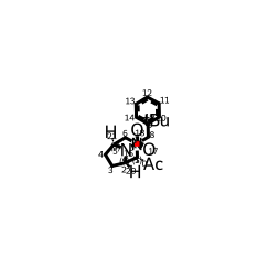 CC(=O)[C@@H]1[C@@H]2CC[C@@H](CN1Cc1ccccc1)N2C(=O)OC(C)(C)C